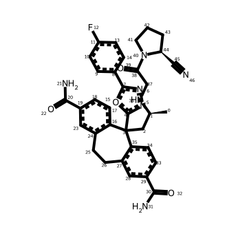 C[C@@H](CC1(c2nnc(-c3ccc(F)cc3)o2)c2ccc(C(N)=O)cc2CCc2cc(C(N)=O)ccc21)NCC(=O)N1CCC[C@H]1C#N